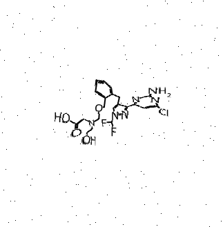 Nc1nc(Cl)cc(-c2nn(C(F)F)cc2Cc2ccccc2COCN(CCO)CC(=O)O)n1